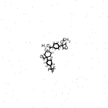 C=C(c1ccc(C2(OC)COC2)cc1)N1CCC(C=O)(c2ccc(C(F)(F)F)cc2)CC1